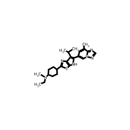 CCN(C)C1CCC(c2nc3c(C(C)C)c(-c4cc(C)c5ncnn5c4)[nH]c3s2)CC1